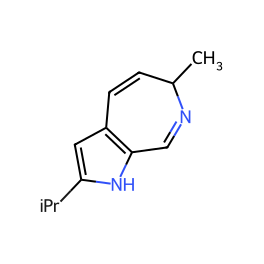 CC1C=Cc2cc(C(C)C)[nH]c2C=N1